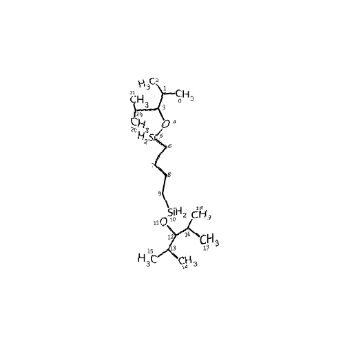 CC(C)C(O[SiH2]CCCC[SiH2]OC(C(C)C)C(C)C)C(C)C